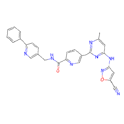 Cc1cc(Nc2cc(C#N)on2)nc(-c2ccc(C(=O)NCc3ccc(-c4ccccc4)nc3)nc2)n1